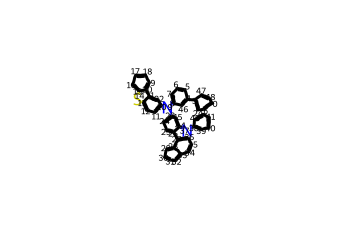 c1ccc(-c2cccc(N(c3ccc4sc5ccccc5c4c3)c3ccc4c5c6ccccc6ccc5n(-c5ccccc5)c4c3)c2)cc1